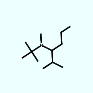 CC(C)C(CCI)N(C)C(C)(C)C